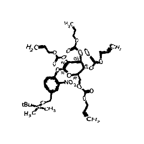 C=CCOC(=O)OC[C@H]1O[C@@H](Oc2ccc(CO[Si](C)(C)C(C)(C)C)cc2[N+](=O)[O-])[C@H](OC(=O)OCC=C)[C@@H](OC(=O)OCC=C)[C@@H]1OC(=O)OCC=C